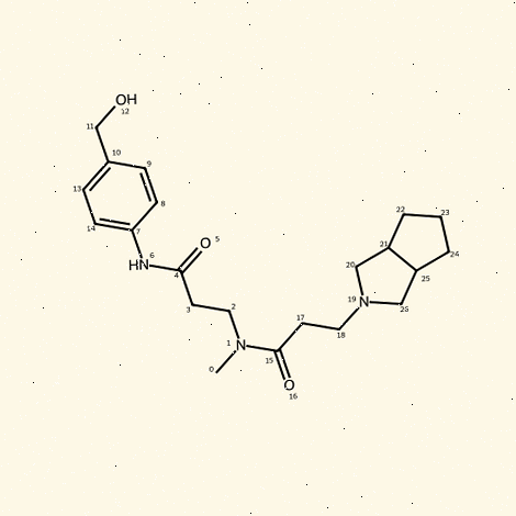 CN(CCC(=O)Nc1ccc(CO)cc1)C(=O)CCN1CC2CCCC2C1